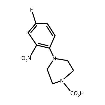 O=C(O)N1CCN(c2ccc(F)cc2[N+](=O)[O-])CC1